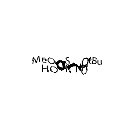 COc1cc2sc(CNC(=O)OC(C)(C)C)nc2cc1O